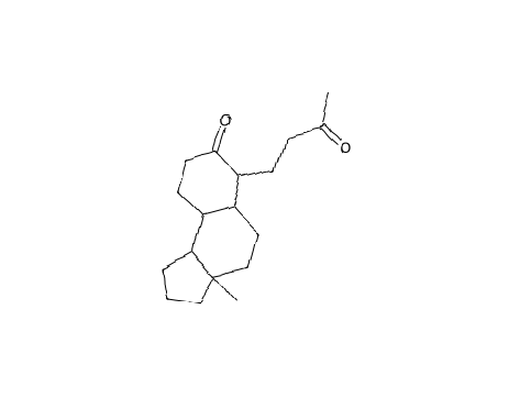 CC(=O)CCC1C(=O)CCC2C1CCC1(C)CCCC21